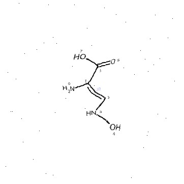 N/C(=C\NO)C(=O)O